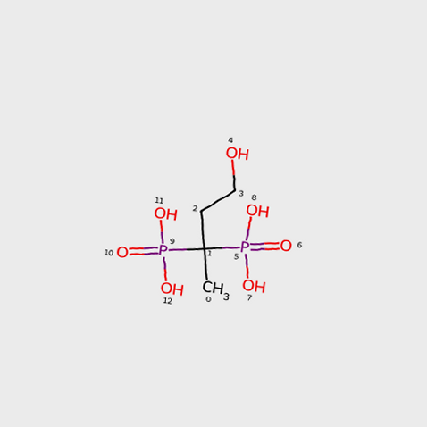 CC(CCO)(P(=O)(O)O)P(=O)(O)O